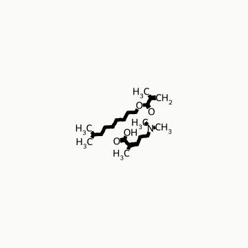 C=C(C)C(=O)OCCCCCCCC(C)C.CC(=CCCN(C)C)C(=O)O